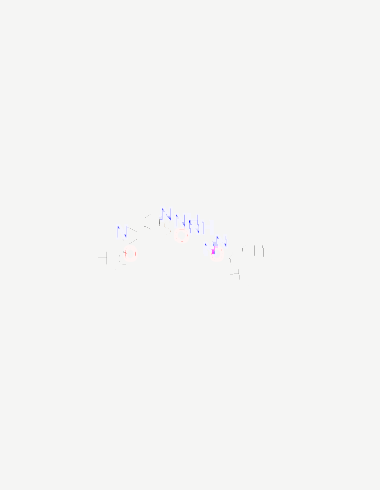 CCC(C)c1nc(CCNC(=O)Nc2nc3ccc(-c4cncc(OC)c4)cc3s2)no1